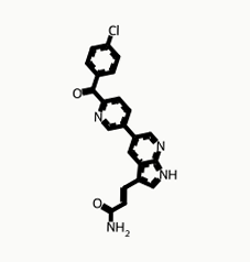 NC(=O)/C=C/c1c[nH]c2ncc(-c3ccc(C(=O)c4ccc(Cl)cc4)nc3)cc12